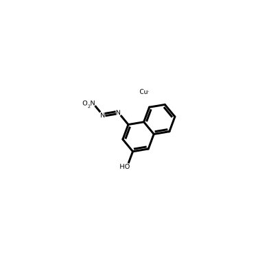 O=[N+]([O-])N=Nc1cc(O)cc2ccccc12.[Cu]